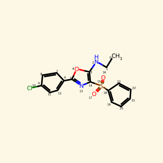 CCNc1oc(-c2ccc(Cl)cc2)nc1S(=O)(=O)c1ccccc1